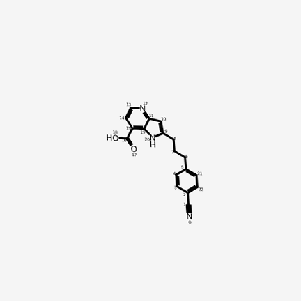 N#Cc1ccc(CCCc2cc3nccc(C(=O)O)c3[nH]2)cc1